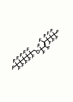 FC(=C(F)C(F)(F)C(F)(F)C(F)(F)F)C(F)(F)OCC(F)(F)C(F)(F)C(F)(F)C(F)(F)C(F)(F)F